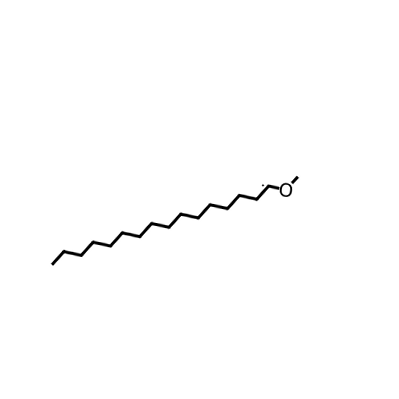 CCCCCCCCCCCCCCC[CH]OC